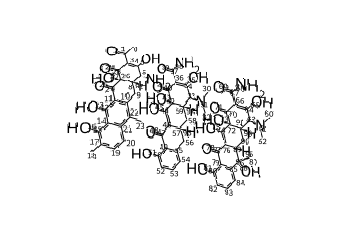 CC(=O)C1=C(O)[C@H](N)[C@@H]2Cc3c(c(O)c4c(O)c(C)ccc4c3C)C(=O)[C@]2(O)C1=O.CN(C)[C@@H]1C(O)=C(C(N)=O)C(=O)[C@@]2(O)C(O)=C3C(=O)c4c(O)cccc4C[C@H]3C[C@@H]12.CN(C)[C@@H]1C(O)=C(C(N)=O)C(=O)[C@@]2(O)C(O)=C3C(=O)c4c(O)cccc4[C@@](C)(O)[C@H]3C[C@@H]12